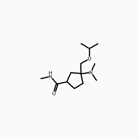 CNC(=O)C1CCC(COC(C)C)(N(C)C)C1